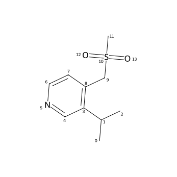 CC(C)c1cnccc1CS(C)(=O)=O